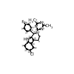 Cc1nc(C)nc(N2CCc3c([nH]c4ccc(Cl)cc34)C2c2ccc(F)cc2)n1